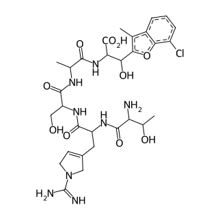 Cc1c(C(O)C(NC(=O)C(C)NC(=O)C(CO)NC(=O)C(CC2=CCN(C(=N)N)C2)NC(=O)C(N)C(C)O)C(=O)O)oc2c(Cl)cccc12